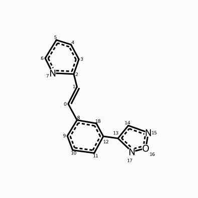 C(=Cc1ccccn1)c1cccc(-c2cnon2)c1